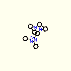 c1ccc(-c2nc(-c3ccccc3)nc(-c3ccc(-n4c5ccccc5c5cccc(-n6c7ccccc7c7ccccc76)c54)cc3)n2)cc1